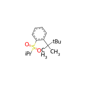 CC(C)S(=O)(=O)c1ccccc1C(C)(C)C(C)(C)C